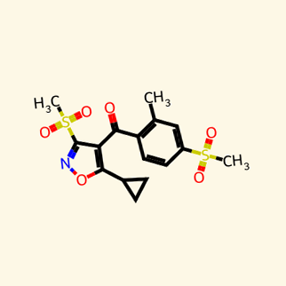 Cc1cc(S(C)(=O)=O)ccc1C(=O)c1c(S(C)(=O)=O)noc1C1CC1